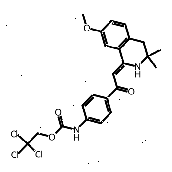 COc1ccc2c(c1)/C(=C/C(=O)c1ccc(NC(=O)OCC(Cl)(Cl)Cl)cc1)NC(C)(C)C2